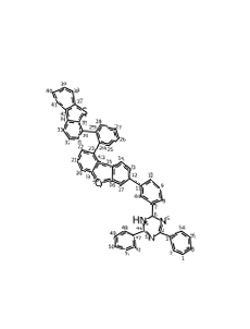 c1ccc(C2=NC(c3cccc(-c4ccc5c(c4)oc4cccc(-c6ccccc6-c6cccc7c6sc6ccccc67)c45)c3)NC(c3ccccc3)=N2)cc1